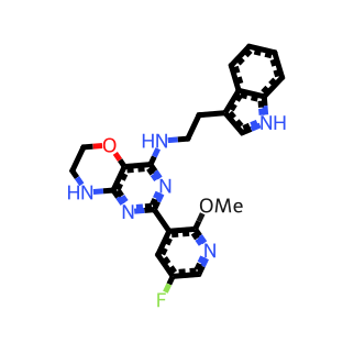 COc1ncc(F)cc1-c1nc2c(c(NCCc3c[nH]c4ccccc34)n1)OCCN2